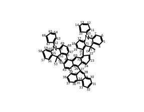 CC1(C)c2ccccc2N(c2ccccc2)c2cccc(-c3cccc4c(-c5cc6ccccc6c6ccccc56)c5cccc(-c6cccc7c6C(C)(C)c6ccccc6N7c6ccccc6)c5cc34)c21